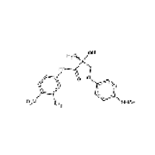 CC(=O)Nc1ccc(OC[C@@](C)(O)C(=O)Nc2ccc([N+](=O)[O-])c(C(F)(F)F)c2)cc1